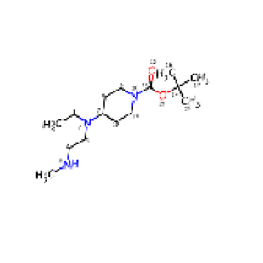 CCN(CCNC)C1CCN(C(=O)OC(C)(C)C)CC1